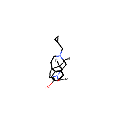 CC(=O)CN1CC[C@]23CCN(CC4CC4)[C@H](Cc4ccc(O)cc42)[C@@H]3C1